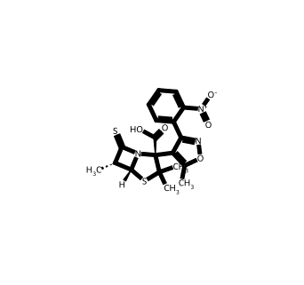 Cc1onc(-c2ccccc2[N+](=O)[O-])c1[C@@]1(C(=O)O)N2C(=S)[C@@H](C)[C@H]2SC1(C)C